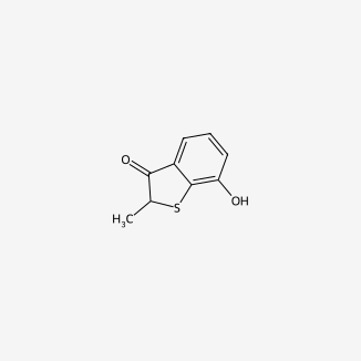 CC1Sc2c(O)cccc2C1=O